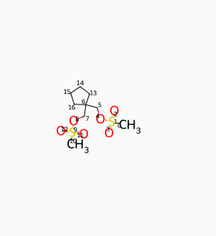 CS(=O)(=O)OCC1(COS(C)(=O)=O)CCCC1